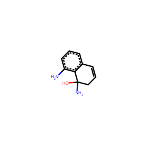 Nc1cccc2c1C(N)(O)CC=C2